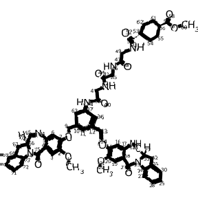 COc1cc2c(cc1OCc1cc(COc3cc4c(cc3OC)C(=O)N3c5ccccc5C[C@H]3CN4)cc(NC(=O)CNC(=O)CNC(=O)CNC(=O)[C@H]3CC[C@H](C(=O)OC)CC3)c1)N=C[C@@H]1Cc3ccccc3N1C2=O